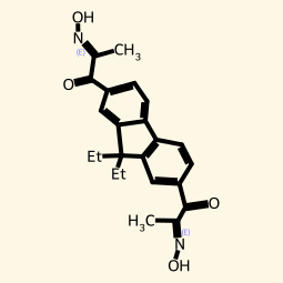 CCC1(CC)c2cc(C(=O)/C(C)=N/O)ccc2-c2ccc(C(=O)/C(C)=N/O)cc21